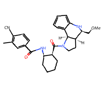 [C-]#[N+]c1ccc(C(=O)N[C@@H]2CCCC[C@@H]2C(=O)N2CC[C@@H]3[C@H](COC)Nc4ccccc4[C@@H]32)cc1C